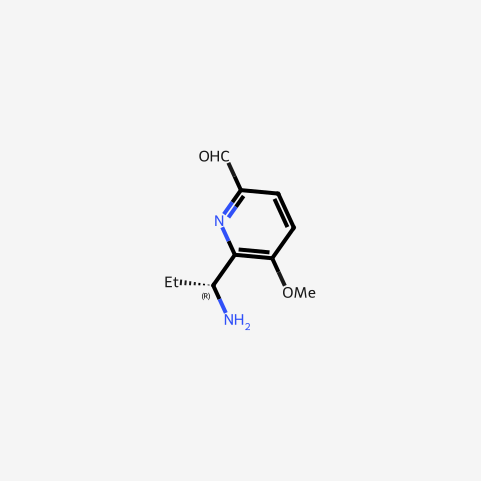 CC[C@@H](N)c1nc(C=O)ccc1OC